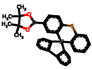 CC1(C)OB(c2ccc3c(c2)[Si]2(c4ccccc4S3)c3ccccc3-c3ccccc32)OC1(C)C